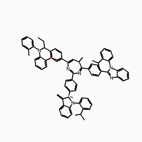 C=C1c2ccccc2N(c2ccccc2C(C)C)[C@@H]1c1ccc(C2=NC(c3ccc(C(CC)N(c4ccccc4C)c4ccccc4C(C)C)cc3)=CC(C)C(c3ccc(-c4nc5ccccc5n4-c4ccccc4C(C)C)cc3)=N2)cc1